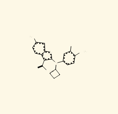 COC(=O)c1c(N(c2ccc(OC)c(F)c2)C2CCC2)[nH]c2cc(C#N)ccc12